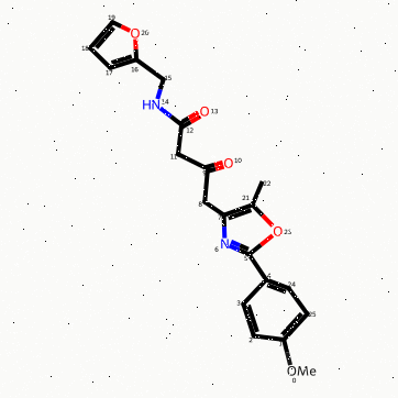 COc1ccc(-c2nc(CC(=O)CC(=O)NCc3ccco3)c(C)o2)cc1